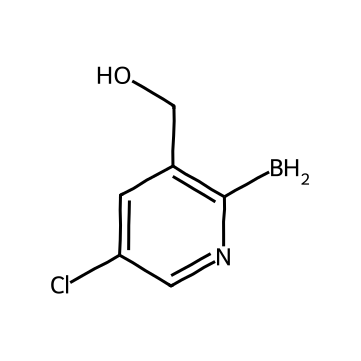 Bc1ncc(Cl)cc1CO